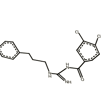 N=C(NCCCc1ccccc1)NC(=O)c1ccc(Cl)c(Cl)c1